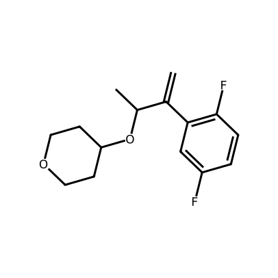 C=C(c1cc(F)ccc1F)C(C)OC1CCOCC1